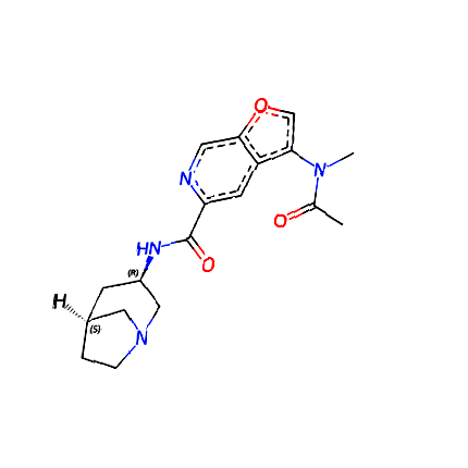 CC(=O)N(C)c1coc2cnc(C(=O)N[C@@H]3C[C@@H]4CCN(C4)C3)cc12